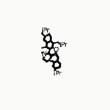 Cc1c2c(c(CC(C)C)c3ccc(CC(C)C)cc13)Oc1cc3ccc(C(C)C)cc3c3cc[n+](C)c-2c13